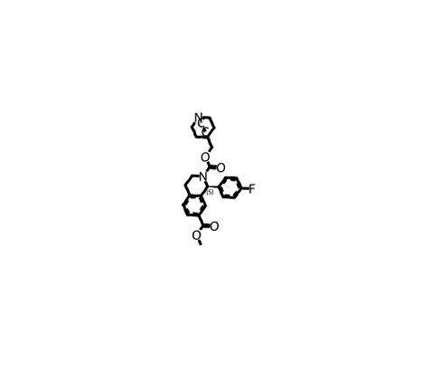 COC(=O)c1ccc2c(c1)[C@H](c1ccc(F)cc1)N(C(=O)OCC13CCN(CC1)CC3)CC2